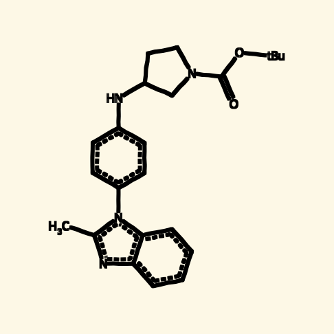 Cc1nc2ccccc2n1-c1ccc(NC2CCN(C(=O)OC(C)(C)C)C2)cc1